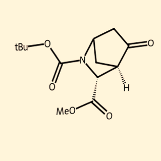 COC(=O)[C@H]1[C@H]2CC(CC2=O)N1C(=O)OC(C)(C)C